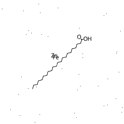 CCCCCCCCCCCCCCCCCCCCCC(=O)O.[Fe].[Zn]